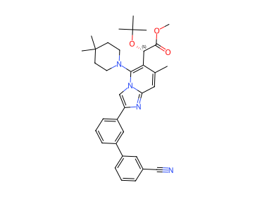 COC(=O)[C@@H](OC(C)(C)C)c1c(C)cc2nc(-c3cccc(-c4cccc(C#N)c4)c3)cn2c1N1CCC(C)(C)CC1